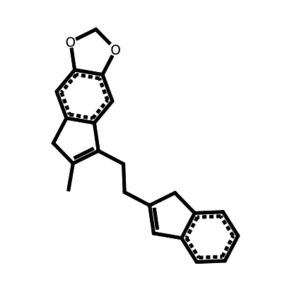 CC1=C(CCC2=Cc3ccccc3C2)c2cc3c(cc2C1)OCO3